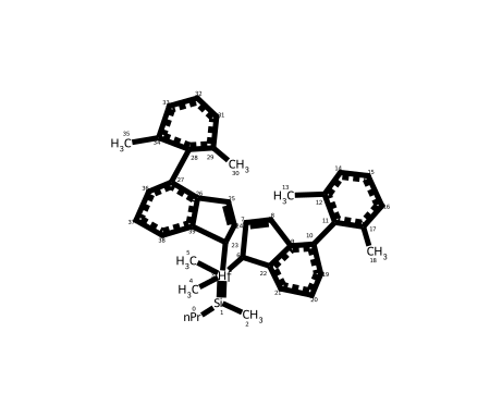 CCC[Si](C)=[Hf]([CH3])([CH3])([CH]1C=Cc2c(-c3c(C)cccc3C)cccc21)[CH]1C=Cc2c(-c3c(C)cccc3C)cccc21